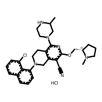 CC1CN(c2nc(OC[C@@H]3CCCN3C)c(C#N)c3c2CCN(c2cccc4cccc(Cl)c24)C3)CCN1.Cl